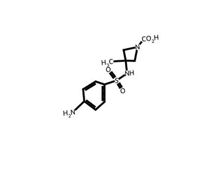 CC1(NS(=O)(=O)c2ccc(N)cc2)CN(C(=O)O)C1